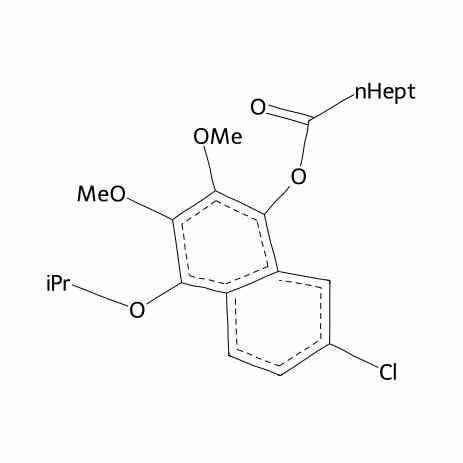 CCCCCCCC(=O)Oc1c(OC)c(OC)c(OC(C)C)c2ccc(Cl)cc12